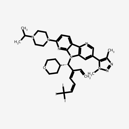 C=C/C(=C\C=C/C(I)(I)I)[C@H](C1CCOCC1)n1c2cc(-c3c(C)nnn3C)cnc2c2ccc(N3CCN(C(C)C)CC3)nc21